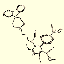 COC(=O)C1=C(C)N=C(OC)N(N(C=O)CCCN2CCC(c3ccccc3)(c3ccccc3)CC2)C1c1ccc([N+](=O)[O-])cc1